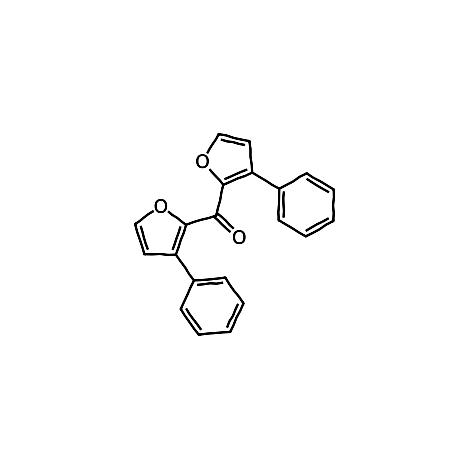 O=C(c1occc1-c1ccccc1)c1occc1-c1ccccc1